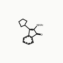 CC(=O)NC1=C(C2CCCC2)c2ccccc2C1=O